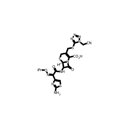 CC(C)O/N=C(\C(=O)NC1C(=O)N2C(C(=O)O)=C(CSc3nnnn3CC#N)CS[C@H]12)c1csc(N)n1